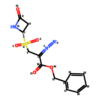 [N-]=[N+]=C(CS(=O)(=O)[C@H]1CC(=O)N1)C(=O)OCc1ccccc1